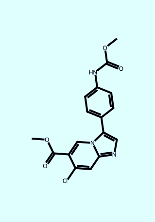 COC(=O)Nc1ccc(-c2cnc3cc(Cl)c(C(=O)OC)cn23)cc1